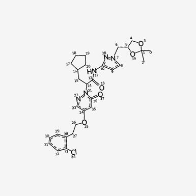 CC1(C)OCC(Cn2ccc(NC(=O)C(CC3CCCC3)n3ncc(OCCc4ccccc4Cl)cc3=O)n2)O1